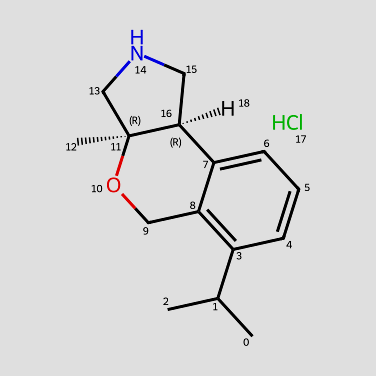 CC(C)c1cccc2c1CO[C@@]1(C)CNC[C@@H]21.Cl